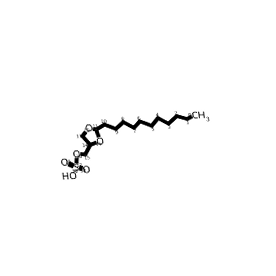 CCCCCCCCCCCC1OCC(COS(=O)(=O)O)O1